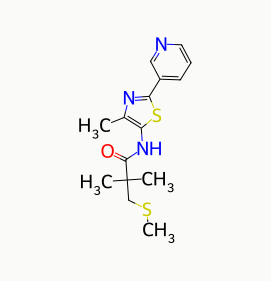 CSCC(C)(C)C(=O)Nc1sc(-c2cccnc2)nc1C